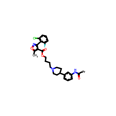 Cc1onc(-c2c(F)cccc2Cl)c1C(=O)OCCCCN1CCC(c2cccc(NC(=O)C(C)C)c2)CC1